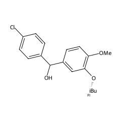 CC[C@@H](C)Oc1cc(C(O)c2ccc(Cl)cc2)ccc1OC